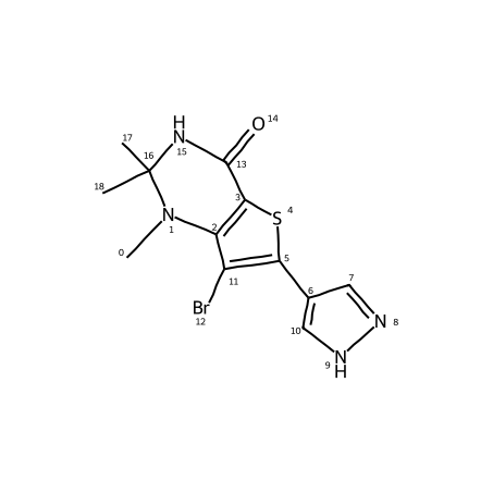 CN1c2c(sc(-c3cn[nH]c3)c2Br)C(=O)NC1(C)C